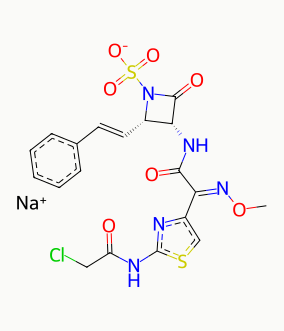 CON=C(C(=O)N[C@H]1C(=O)N(S(=O)(=O)[O-])[C@H]1C=Cc1ccccc1)c1csc(NC(=O)CCl)n1.[Na+]